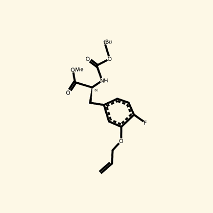 C=CCOc1cc(C[C@H](NC(=O)OC(C)(C)C)C(=O)OC)ccc1F